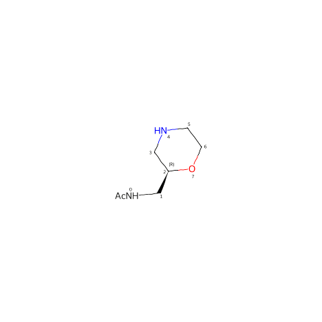 CC(=O)NC[C@H]1CNCCO1